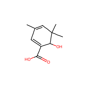 CC1=CC(C)(C)C(O)C(C(=O)O)=C1